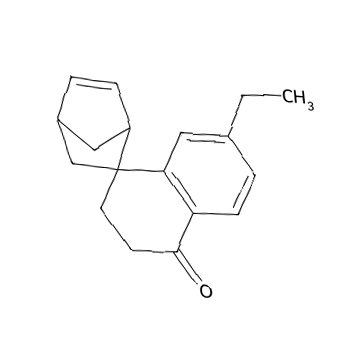 CCc1ccc2c(c1)C1(CCC2=O)CC2C=CC1C2